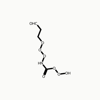 O=CCCOOONC(=O)OOO